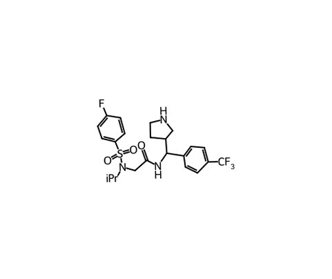 CC(C)N(CC(=O)NC(c1ccc(C(F)(F)F)cc1)C1CCNC1)S(=O)(=O)c1ccc(F)cc1